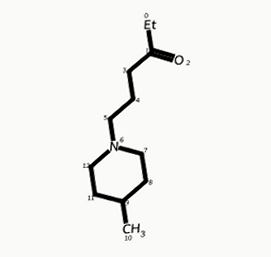 CCC(=O)CCCN1CCC(C)CC1